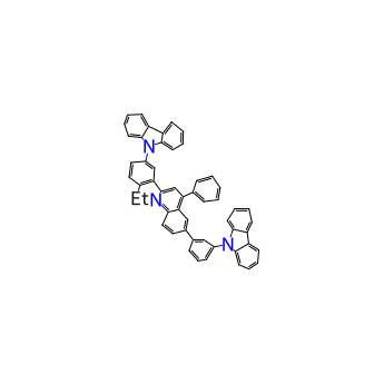 CCc1ccc(-n2c3ccccc3c3ccccc32)cc1-c1cc(-c2ccccc2)c2cc(-c3cccc(-n4c5ccccc5c5ccccc54)c3)ccc2n1